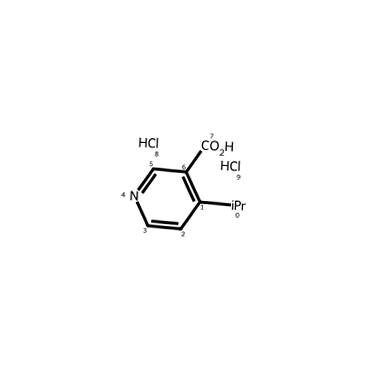 CC(C)c1ccncc1C(=O)O.Cl.Cl